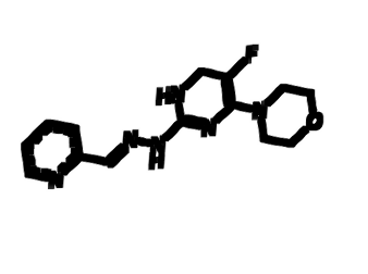 FC1=C(N2CCOCC2)N=C(N/N=C/c2ccccn2)NC1